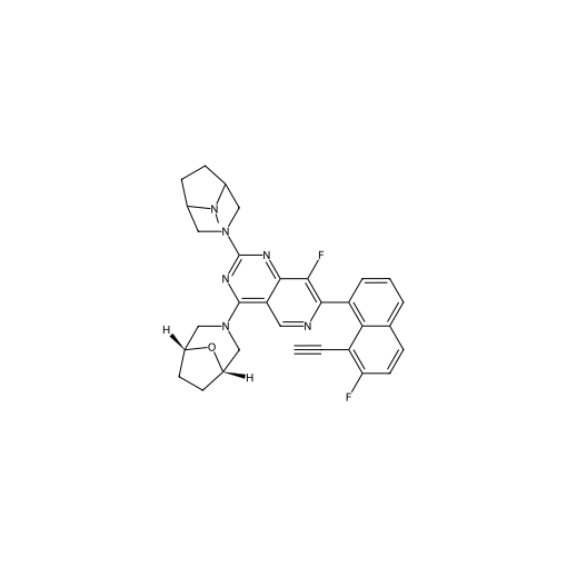 C#Cc1c(F)ccc2cccc(-c3ncc4c(N5C[C@H]6CC[C@@H](C5)O6)nc(N5CC6CCC(C5)N6C)nc4c3F)c12